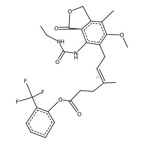 CCNC(=O)Nc1c(C/C=C(\C)CCC(=O)Oc2ccccc2C(F)(F)F)c(OC)c(C)c2c1C(=O)OC2